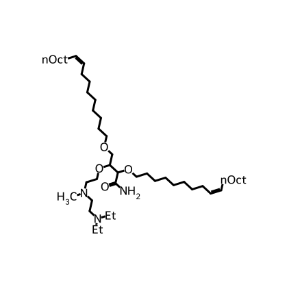 CCCCCCCC/C=C\CCCCCCCCOCC(OCCN(C)CCN(CC)CC)C(OCCCCCCCC/C=C\CCCCCCCC)C(N)=O